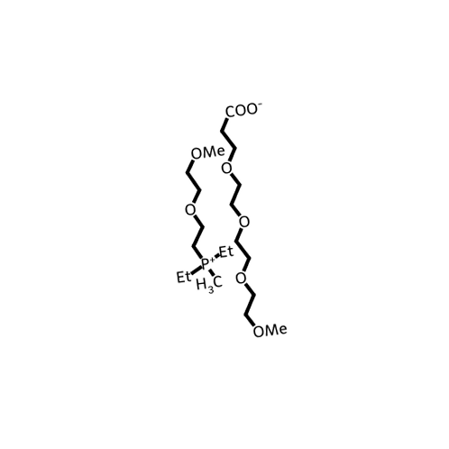 CC[P+](C)(CC)CCOCCOC.COCCOCCOCCOCCC(=O)[O-]